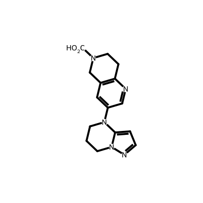 O=C(O)N1CCc2ncc(N3CCCn4nccc43)cc2C1